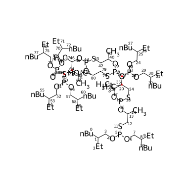 CCCCC(CC)COP(OCC(CC)CCCC)SCC(C)OP(OC(C)CSP(OCC(CC)CCCC)OCC(CC)CCCC)SCC(C)OP(OC(C)CSP(OC(C)CSP(OCC(CC)CCCC)OCC(CC)CCCC)OC(C)CSP(=O)(OCC(CC)CCCC)OCC(CC)CCCC)SCCC(=O)O